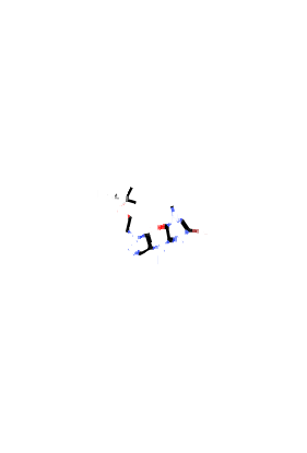 Cn1cc(Br)nc(Nc2cnn(CCO[Si](C)(C)C(C)(C)C)c2)c1=O